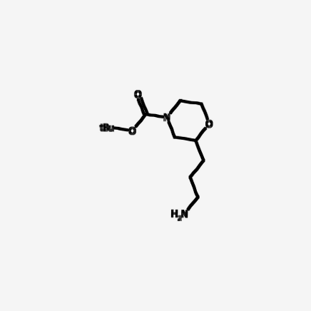 CC(C)(C)OC(=O)N1CCOC(CCCN)C1